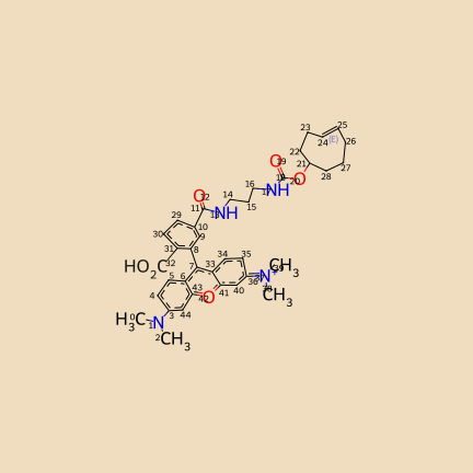 CN(C)c1ccc2c(-c3cc(C(=O)NCCCNC(=O)OC4CC/C=C/CCC4)ccc3C(=O)O)c3ccc(=[N+](C)C)cc-3oc2c1